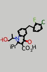 CC(C)c1c(C(=O)O)c(=O)c2cc(Cc3cccc(Cl)c3F)ccc2n1C(C)CO